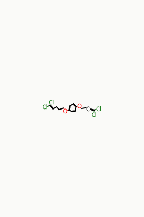 ClC(Cl)=CCCCOc1ccc(OCCCC=C(Cl)Cl)cc1